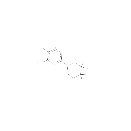 CC1(C)CCB(c2ccc(F)c(C#N)c2)OC1(C)C